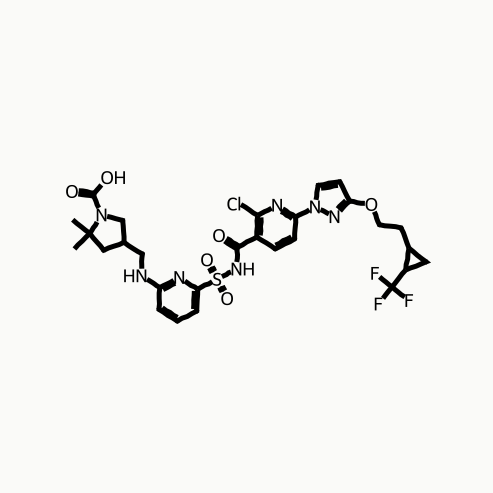 CC1(C)CC(CNc2cccc(S(=O)(=O)NC(=O)c3ccc(-n4ccc(OCCC5CC5C(F)(F)F)n4)nc3Cl)n2)CN1C(=O)O